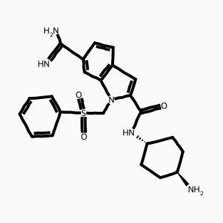 N=C(N)c1ccc2cc(C(=O)N[C@H]3CC[C@H](N)CC3)n(CS(=O)(=O)c3ccccc3)c2c1